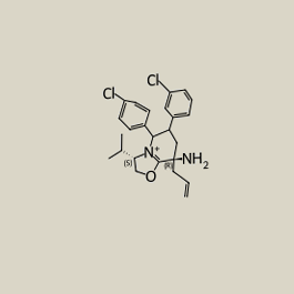 C=CC[C@@]1(N)CC(c2cccc(Cl)c2)C(c2ccc(Cl)cc2)[N+]2=C1OC[C@@H]2C(C)C